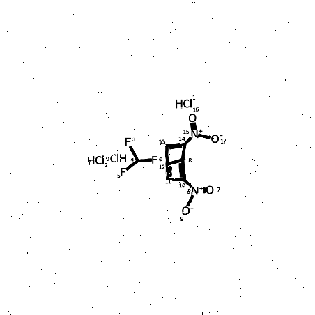 Cl.Cl.Cl.FC(F)F.O=[N+]([O-])c1cc2cc([N+](=O)[O-])c1-2